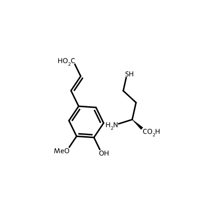 COc1cc(/C=C/C(=O)O)ccc1O.N[C@@H](CCS)C(=O)O